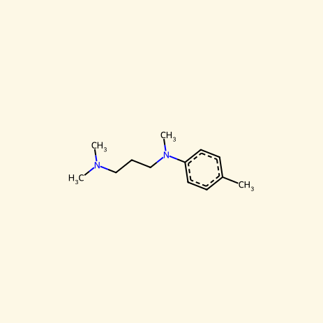 Cc1ccc(N(C)CCCN(C)C)cc1